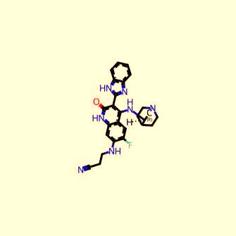 N#CCCNc1cc2[nH]c(=O)c(-c3nc4ccccc4[nH]3)c(N[C@H]3CN4CCC3CC4)c2cc1F